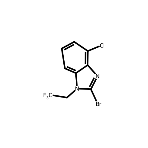 FC(F)(F)Cn1c(Br)nc2c(Cl)cccc21